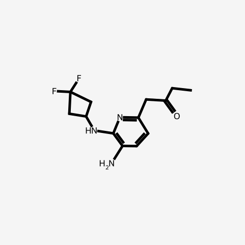 CCC(=O)Cc1ccc(N)c(NC2CC(F)(F)C2)n1